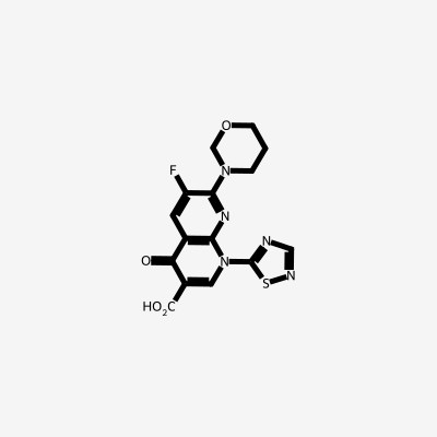 O=C(O)c1cn(-c2ncns2)c2nc(N3CCCOC3)c(F)cc2c1=O